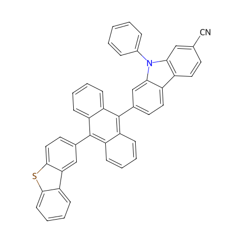 N#Cc1ccc2c3ccc(-c4c5ccccc5c(-c5ccc6sc7ccccc7c6c5)c5ccccc45)cc3n(-c3ccccc3)c2c1